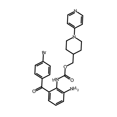 Nc1cccc(C(=O)c2ccc(Br)cc2)c1NC(=O)OCC1CCN(c2ccncc2)CC1